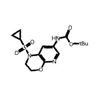 CC(C)(C)OC(=O)Nc1cnc2c(c1)N(S(=O)(=O)C1CC1)CCO2